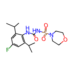 CC(C)c1cc(F)cc(C(C)C)c1NC(=O)NS(=O)(=O)N1CCOCC1